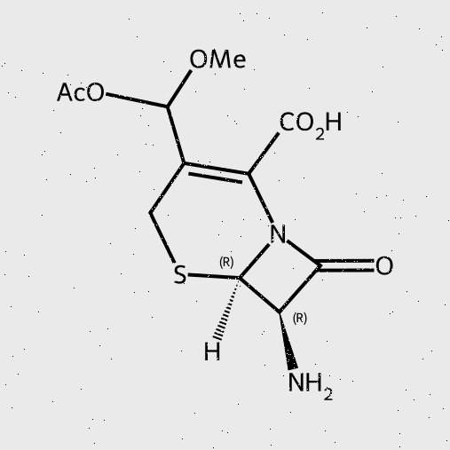 COC(OC(C)=O)C1=C(C(=O)O)N2C(=O)[C@@H](N)[C@H]2SC1